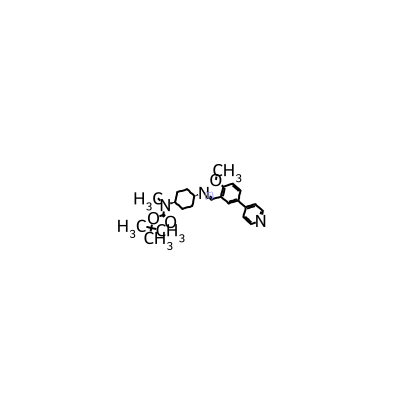 COc1ccc(-c2ccncc2)cc1/C=N/[C@H]1CC[C@H](N(C)C(=O)OC(C)(C)C)CC1